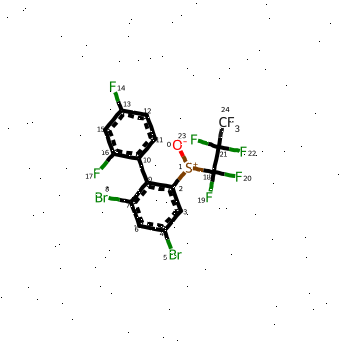 [O-][S+](c1cc(Br)[c]c(Br)c1-c1ccc(F)cc1F)C(F)(F)C(F)(F)C(F)(F)F